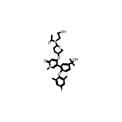 CC(=O)N(CCO)C1CCC(Oc2cc(=O)n(C)cc2-c2cc(C(C)(C)O)ccc2Oc2c(C)cc(F)cc2C)CC1